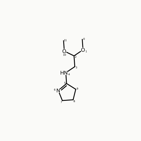 COC(CNC1=NCCC1)OC